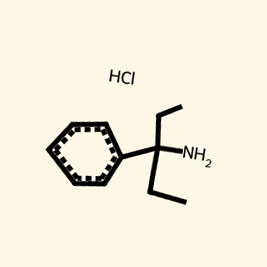 CCC(N)(CC)c1ccccc1.Cl